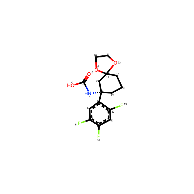 O=C(O)N[C@@]1(c2cc(F)c(F)cc2F)CCCC2(C1)OCCO2